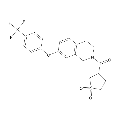 O=C(C1CCS(=O)(=O)C1)N1CCc2ccc(Oc3ccc(C(F)(F)F)cc3)cc2C1